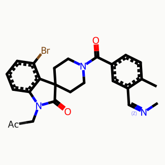 C/N=C\c1cc(C(=O)N2CCC3(CC2)C(=O)N(CC(C)=O)c2cccc(Br)c23)ccc1C